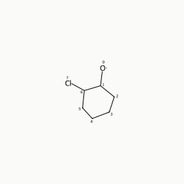 [O]C1CCCCC1Cl